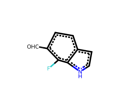 O=Cc1ccc2cc[nH]c2c1F